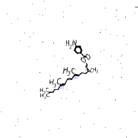 CC(C)=CCC/C(C)=C/CC/C(C)=C/CC/C(C)=C/COC(=O)c1ccc(N)cc1